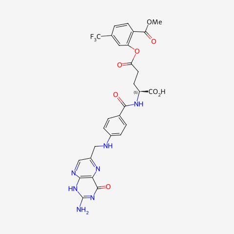 COC(=O)c1ccc(C(F)(F)F)cc1OC(=O)CC[C@H](NC(=O)c1ccc(NCc2cnc3[nH]c(N)nc(=O)c3n2)cc1)C(=O)O